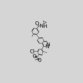 Cc1ccc(C(=O)NC2CC2)cc1-c1ccc2c(-c3cc(Cl)c(S(C)(=O)=O)cc3C)nncc2c1